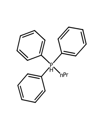 C[CH]C[PH](c1ccccc1)(c1ccccc1)c1ccccc1